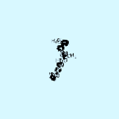 COc1ccccc1C1CCCN(c2nc(C)c(C(=O)Nc3ccc(N4CCN(C(=O)Nc5ccccc5F)CC4)nc3)o2)C1